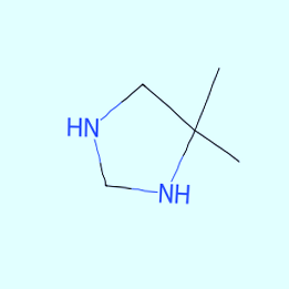 CC1(C)CNCN1